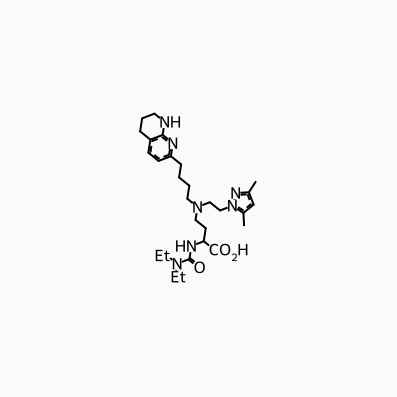 CCN(CC)C(=O)NC(CCN(CCCCc1ccc2c(n1)NCCC2)CCn1nc(C)cc1C)C(=O)O